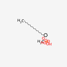 CCCCCCCCCCCCCCCc1ccccc1OC(C)OP(=O)(O)O